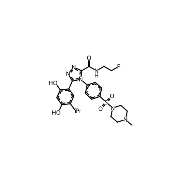 CC(C)c1cc(-c2nnc(C(=O)NCCF)n2-c2ccc(S(=O)(=O)N3CCN(C)CC3)cc2)c(O)cc1O